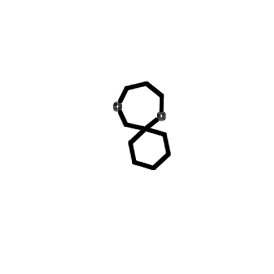 C1CCC2(CC1)COCCCO2